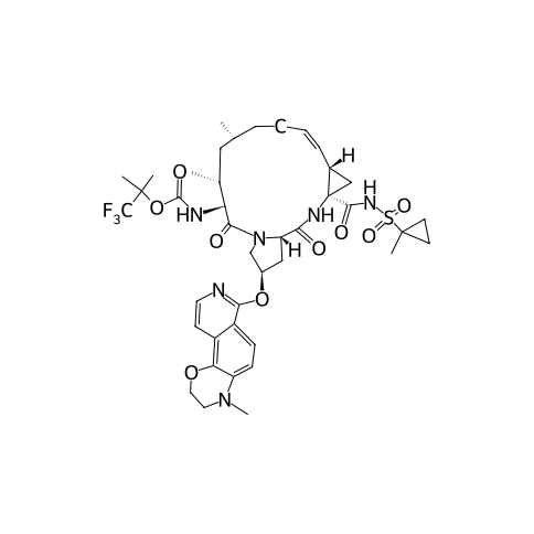 C[C@@H]1CC/C=C\[C@@H]2C[C@@]2(C(=O)NS(=O)(=O)C2(C)CC2)NC(=O)[C@@H]2C[C@@H](Oc3nccc4c5c(ccc34)N(C)CCO5)CN2C(=O)[C@@H](NC(=O)OC(C)(C)C(F)(F)F)[C@H](C)C1